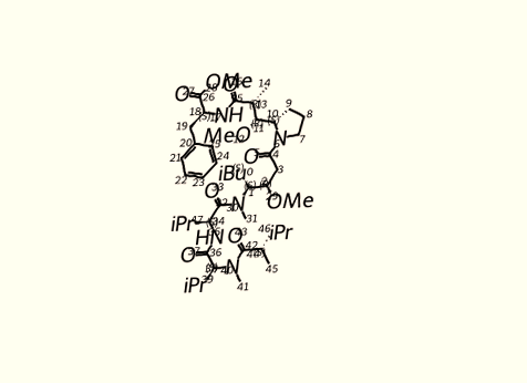 CC[C@H](C)[C@@H]([C@@H](CC(=O)N1CCC[C@H]1[C@H](OC)[C@@H](C)C(=O)N[C@@H](Cc1ccccc1)C(=O)OC)OC)N(C)C(=O)[C@@H](NC(=O)[C@H](C(C)C)N(C)C(=O)[C@@H](C)C(C)C)C(C)C